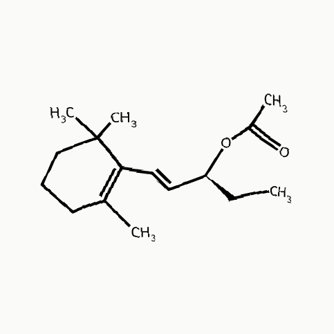 CC[C@@H](/C=C/C1=C(C)CCCC1(C)C)OC(C)=O